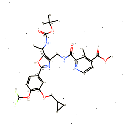 COC(=O)c1ccnc(C(=O)NCc2nc(-c3ccc(OC(F)F)c(OCC4CC4)c3)oc2C(C)NC(=O)OC(C)(C)C)c1C